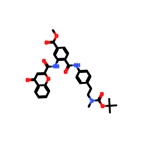 COC(=O)c1ccc(C(=O)Nc2ccc(CCN(C)C(=O)OC(C)(C)C)cc2)c(NC(=O)c2cc(=O)c3ccccc3o2)c1